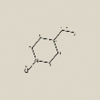 CCC1CCN(Cl)CC1